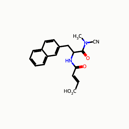 CN(C#N)C(=O)C(Cc1ccc2ccccc2c1)NC(=O)C=CC(=O)O